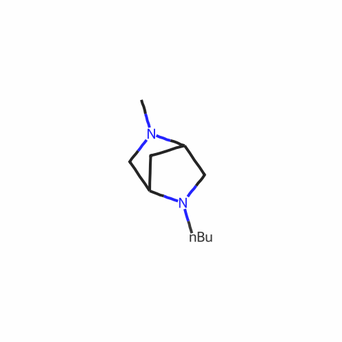 [CH2]CCCN1CC2CC1CN2C